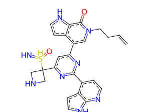 C=CCCn1cc(-c2cc(C3([SH](=N)=O)CNC3)nc(-c3ccnc4[nH]ccc34)n2)c2cc[nH]c2c1=O